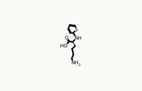 NCCCC[C@H](NC1C=CC=CS1)C(=O)O